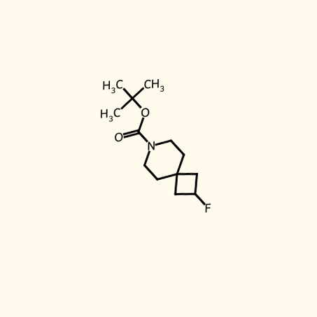 CC(C)(C)OC(=O)N1CCC2(CC1)CC(F)C2